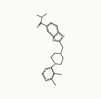 Cc1ncnc(N2CCN(Cc3nc4ccc(C(=O)N(C)C)cc4o3)CC2)c1C